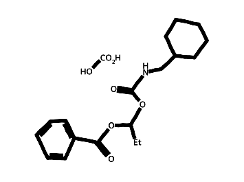 CCC(OC(=O)NCC1CCCCC1)OC(=O)c1ccccc1.O=C(O)O